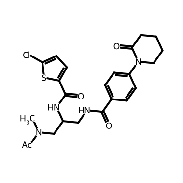 CC(=O)N(C)CC(CNC(=O)c1ccc(N2CCCCC2=O)cc1)NC(=O)c1ccc(Cl)s1